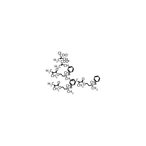 C=C(C)C(=O)OCC[N+](C)(C)Cc1ccccc1.C=C(C)C(=O)OCC[N+](C)(C)Cc1ccccc1.C=C(C)C(=O)OCC[N+](C)(C)Cc1ccccc1.C=C(C)C(=O)[O-].C=C(C)C(=O)[O-].[Cl-]